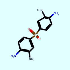 Nc1ccc(S(=O)(=O)c2ccc(N)c([N+](=O)[O-])c2)cc1[N+](=O)[O-]